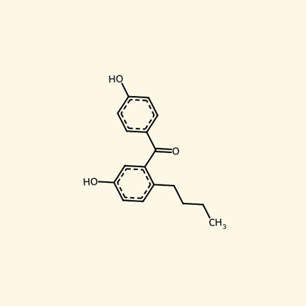 CCCCc1ccc(O)cc1C(=O)c1ccc(O)cc1